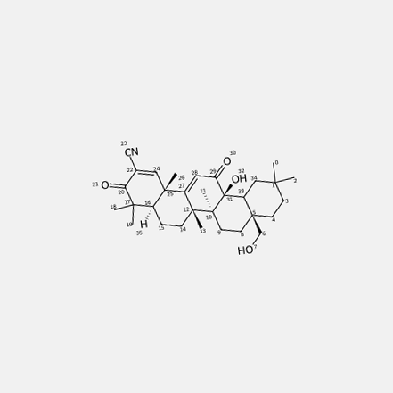 CC1(C)CC[C@]2(CO)CC[C@@]3(C)[C@]4(C)CC[C@H]5C(C)(C)C(=O)C(C#N)=C[C@]5(C)C4=CC(=O)[C@]3(O)C2C1